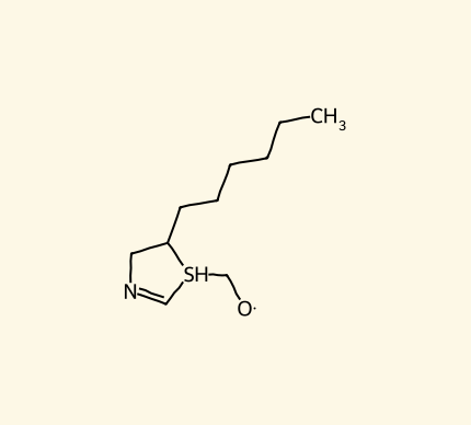 CCCCCCC1CN=C[SH]1C[O]